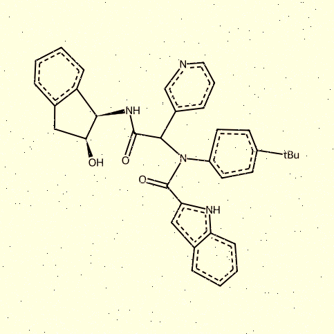 CC(C)(C)c1ccc(N(C(=O)c2cc3ccccc3[nH]2)C(C(=O)N[C@@H]2c3ccccc3C[C@@H]2O)c2cccnc2)cc1